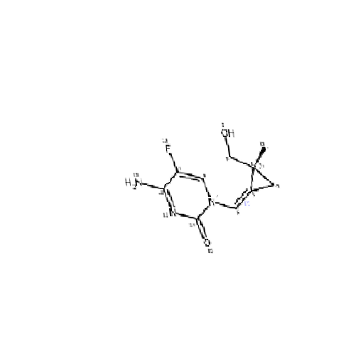 [CH2][C@@]1(CO)C/C1=C/n1cc(F)c(N)nc1=O